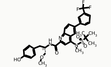 COC[C@H](Cc1ccc(O)cc1)NC(=O)c1cc(N(C)S(=O)(=O)C(C)(C)C)c2cc(-c3cccc(C(F)(F)F)c3)ccc2n1